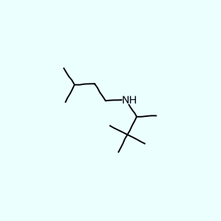 CC(C)CCNC(C)C(C)(C)C